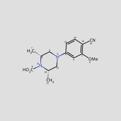 COc1cc(N2C[C@@H](C)N(C(=O)O)[C@@H](C)C2)ccc1C#N